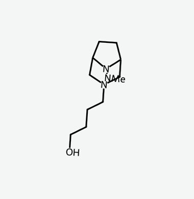 CNN1C2CCC1CN(CCCCO)C2